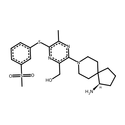 Cc1nc(N2CCC3(CCC[C@H]3N)CC2)c(CO)nc1Sc1cccc(S(C)(=O)=O)c1